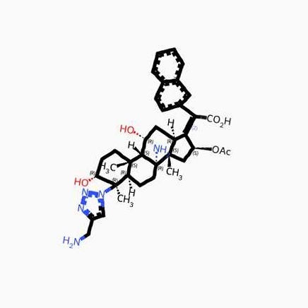 CC(=O)O[C@H]1C[C@@]2(C)[C@@H](C[C@@H](O)[C@H]3[C@@]4(C)CC[C@@H](O)[C@](C)(n5cc(CN)nn5)[C@@H]4CC[C@@]32N)/C1=C(/C(=O)O)c1ccc2ccccc2c1